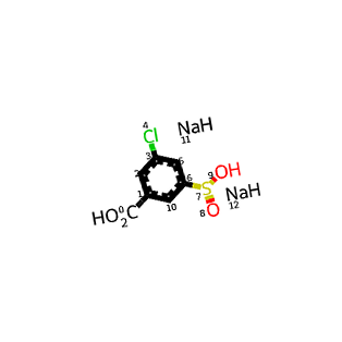 O=C(O)c1cc(Cl)cc(S(=O)O)c1.[NaH].[NaH]